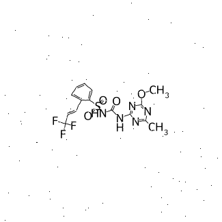 COc1nc(C)nc(NC(=O)NS(=O)(=O)c2ccccc2C=CC(F)(F)F)n1